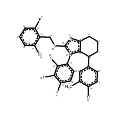 Cc1cc(C2CCCc3nc(SCc4c(F)cccc4Cl)n(-c4ccc(F)c(F)c4F)c32)ccc1Cl